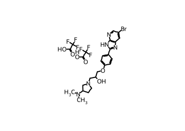 CN(C)C1CCN(CC(O)COc2ccc(-c3nc4cc(Br)cnc4[nH]3)cc2)C1.O=C(O)C(F)(F)F.O=C(O)C(F)(F)F